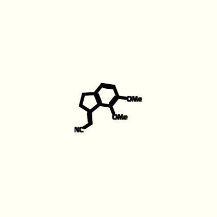 COc1ccc2c(c1OC)C(=CC#N)CC2